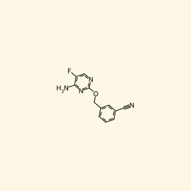 N#Cc1cccc(COc2ncc(F)c(N)n2)c1